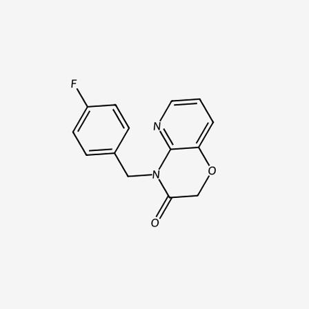 O=C1COc2cccnc2N1Cc1ccc(F)cc1